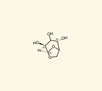 OC1[C@H](O)C2CO[C@H](O2)[C@H]1O